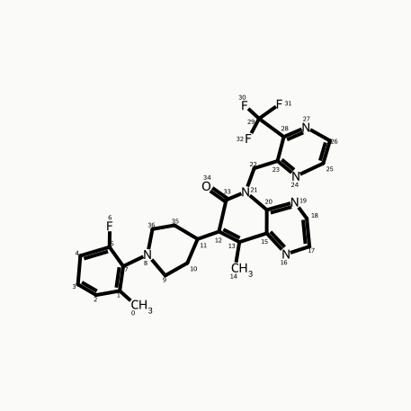 Cc1cccc(F)c1N1CCC(c2c(C)c3nccnc3n(Cc3nccnc3C(F)(F)F)c2=O)CC1